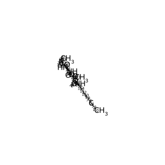 CCCCCCCCCCCCCCCCCCNC(=O)OCC(COC(=O)NCCNC(=O)c1ccc[n+](CC)c1)OC.[I-]